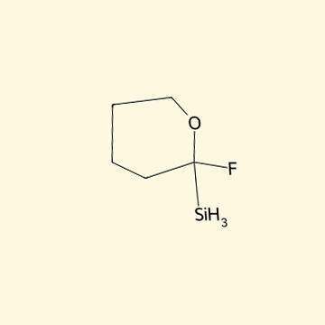 FC1([SiH3])CCCCO1